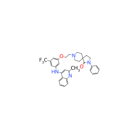 Cc1cc(Nc2cc(OCCN3CCC4(CC3)CCN(c3ccccc3)C4=O)cc(C(F)(F)F)c2)c2ccccc2n1